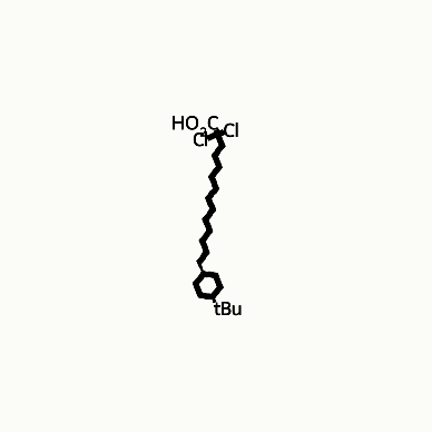 CC(C)(C)[C@H]1CC[C@@H](CCCCCCCCCCCCC(Cl)(Cl)C(=O)O)CC1